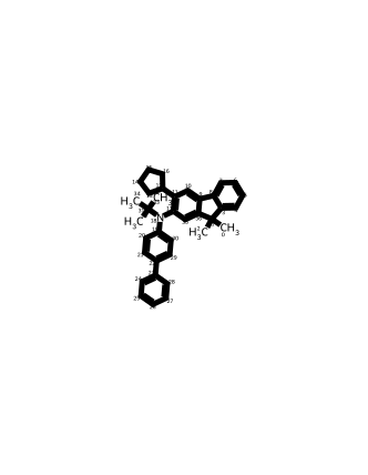 CC1(C)c2ccccc2-c2cc(C3CCCC3)c(N(c3ccc(-c4ccccc4)cc3)C(C)(C)C)cc21